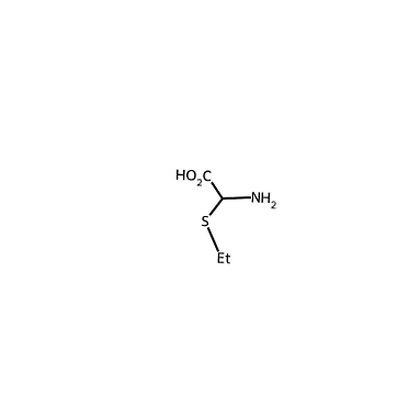 CCSC(N)C(=O)O